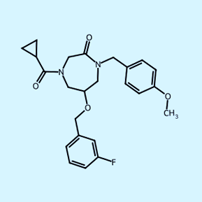 COc1ccc(CN2CC(OCc3cccc(F)c3)CN(C(=O)C3CC3)CC2=O)cc1